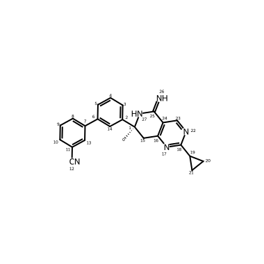 C[C@@]1(c2cccc(-c3cccc(C#N)c3)c2)Cc2nc(C3CC3)ncc2C(=N)N1